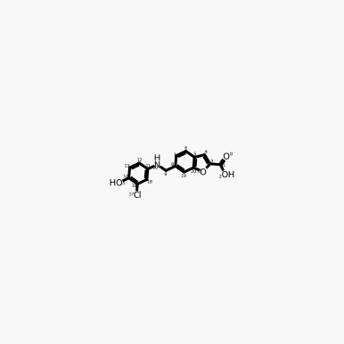 O=C(O)c1cc2ccc(CNc3ccc(O)c(Cl)c3)cc2o1